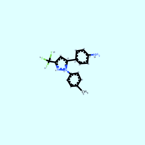 Cc1ccc(-n2nc(C(F)(F)F)cc2-c2ccc(N)cc2)cc1